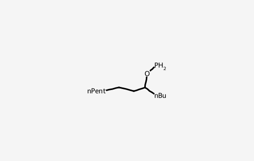 CCCCCCCC(CCCC)OP